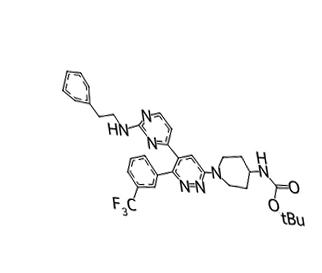 CC(C)(C)OC(=O)NC1CCN(c2cc(-c3ccnc(NCCc4ccccc4)n3)c(-c3cccc(C(F)(F)F)c3)nn2)CC1